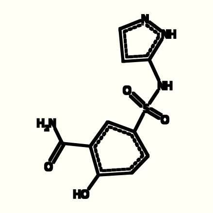 NC(=O)c1cc(S(=O)(=O)Nc2ccn[nH]2)ccc1O